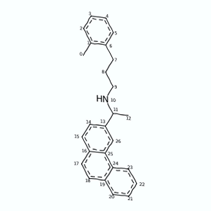 Cc1ccccc1CCCNC(C)c1ccc2ccc3ccccc3c2c1